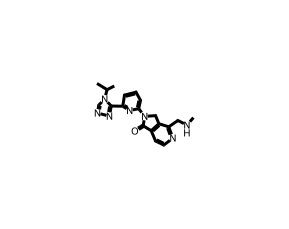 CNCc1nccc2c1CN(c1cccc(-c3nncn3C(C)C)n1)C2=O